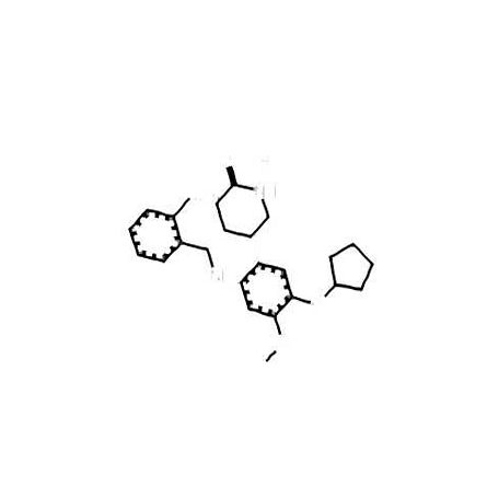 COc1ccc([C@H]2CNC(=O)[C@@H](Cc3ccccc3CN)C2)cc1OC1CCCC1.Cl